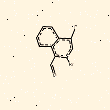 O=Cc1c(Br)cc(F)c2ccccc12